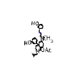 CC(=O)OC12CCC(N(C)C/C=C/c3cccc(O)c3)CC1(c1cccc(O)c1)CCN(CC1CC1)C2